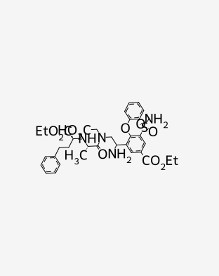 CCOC(=O)c1cc(C(N)CN(CC(=O)O)C(=O)[C@H](C)N[C@@H](CCc2ccccc2)C(=O)OCC)c(Oc2ccccc2)c(S(N)(=O)=O)c1